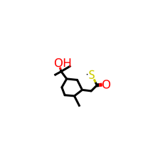 CC1CCC(C(C)(C)O)CC1CC(=O)[S]